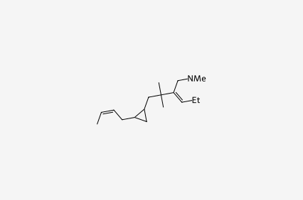 C/C=C\CC1CC1CC(C)(C)/C(=C/CC)CNC